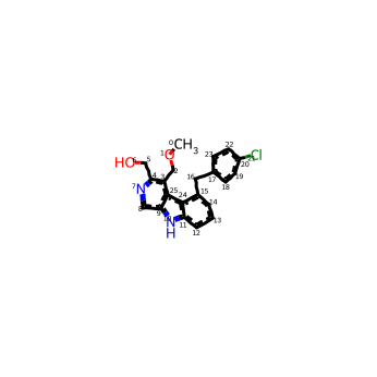 COCc1c(CO)ncc2[nH]c3cccc(Cc4ccc(Cl)cc4)c3c12